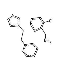 BCc1ccccc1Cl.c1ccc(CCn2ccnc2)cc1